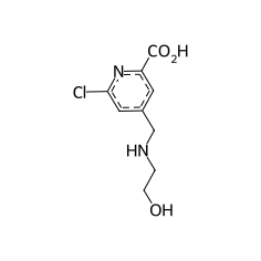 O=C(O)c1cc(CNCCO)cc(Cl)n1